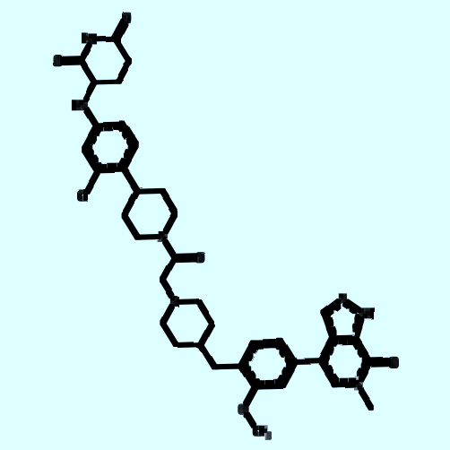 Cn1cc(-c2ccc(CC3CCN(CC(=O)N4CCC(c5ccc(NC6CCC(=O)NC6=O)cc5Cl)CC4)CC3)c(OC(F)(F)F)c2)c2cn[nH]c2c1=O